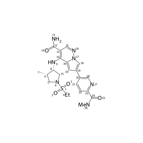 CCS(=O)(=O)N1C[C@H](C)[C@H](Nc2c(C(N)=O)cnn3cc(-c4ccc(C(=O)NC)nc4)cc23)C1